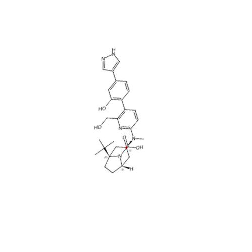 CN(c1ccc(-c2ccc(-c3cn[nH]c3)cc2O)c(CO)n1)[C@H]1C[C@@H]2CC[C@](C(C)(C)C)(C1)N2C(=O)O